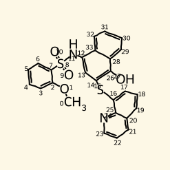 COc1ccccc1S(=O)(=O)Nc1cc(Sc2cccc3cccnc23)c(O)c2ccccc12